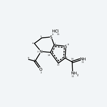 CC(=O)N1CCSc2sc(C(=N)N)cc21.Cl